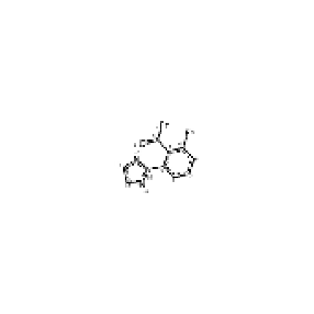 CCC(=O)c1c(F)cccc1-n1nccn1